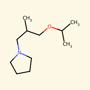 CC(COC(C)C)CN1CCCC1